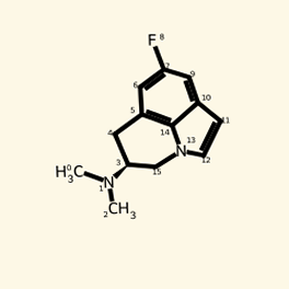 CN(C)[C@H]1Cc2cc(F)cc3ccn(c23)C1